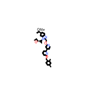 C=C(OC)c1ccc2nc(COc3cc(-c4cccc(OCc5ccc(C)cc5C)n4)ccn3)n(C3C[C@@H]3C3CCO3)c2c1